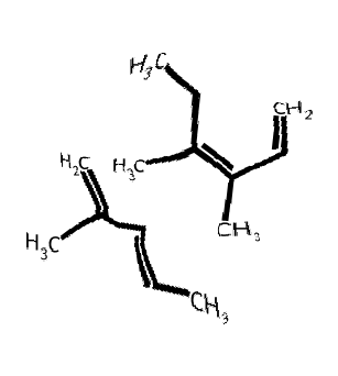 C=C(C)C=CC.C=CC(C)=C(C)CC